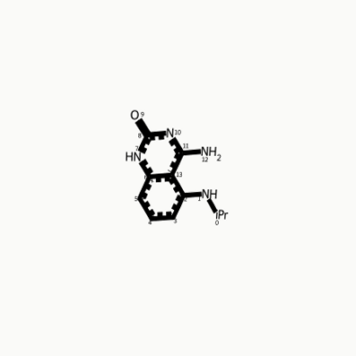 CC(C)Nc1cccc2[nH]c(=O)nc(N)c12